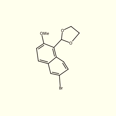 COc1ccc2cc(Br)ccc2c1C1OCCO1